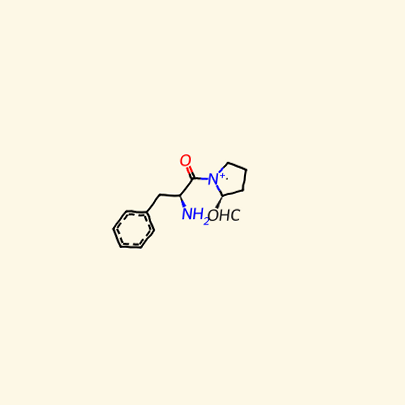 N[C@@H](Cc1ccccc1)C(=O)[N+]1CCC[C@H]1C=O